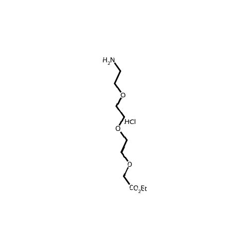 CCOC(=O)COCCOCCOCCN.Cl